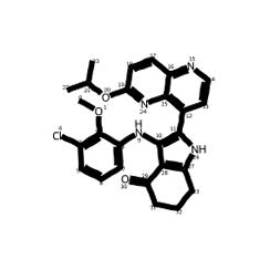 COc1c(Cl)cccc1Nc1c(-c2ccnc3ccc(OC(C)C)nc23)[nH]c2c1C(=O)CCC2